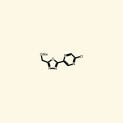 COCc1nnc(-c2cnc(Cl)cn2)o1